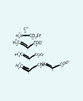 C=CC(=O)[O-].C=CC(=O)[O-].C=CC(=O)[O-].C=CC(=O)[O-].CCOC(N)=O.[C+4]